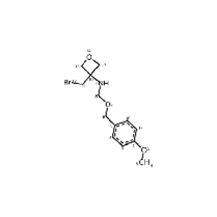 COc1ccc(COCNC2(CBr)COC2)cc1